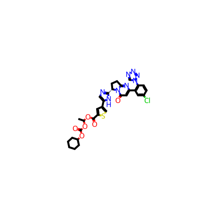 CC(OC(=O)OC1CCCCC1)OC(=O)c1cc(-c2cnc([C@@H]3CCc4nc(-c5cc(Cl)ccc5-n5cnnn5)cc(=O)n43)[nH]2)cs1